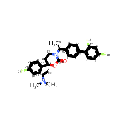 C[C@@H](c1ccc(-c2ccc(F)cc2F)cc1)N1CC[C@](CCN(C)C)(c2ccc(F)cc2)OC1=O